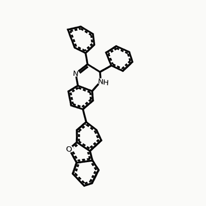 c1ccc(C2=Nc3ccc(-c4ccc5c(c4)oc4ccccc45)cc3NC2c2ccccc2)cc1